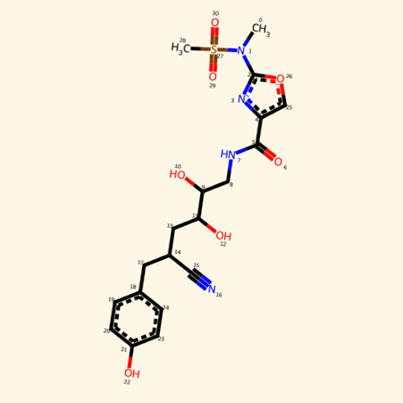 CN(c1nc(C(=O)NCC(O)C(O)CC(C#N)Cc2ccc(O)cc2)co1)S(C)(=O)=O